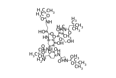 C[C@@H]([C@@H](O)[C@H](OCCO)O[C@@H]1[C@@H](O)[C@H](O[C@H]2OC(CN)=CC[C@H]2NC(=O)CNC(=O)OC(C)(C)C)[C@@H](NC(=O)OC(C)(C)C)C[C@H]1NC(=O)[C@@H](O)CCNC(=O)OC(C)(C)C)N(C)C(=O)CC(C)(C)C